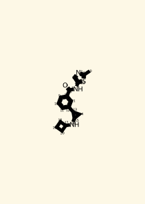 Cc1ncc(NC(=O)c2cccc(C3CC3NC3CCC3)c2)s1